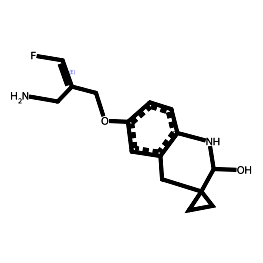 NC/C(=C\F)COc1ccc2c(c1)CC1(CC1)C(O)N2